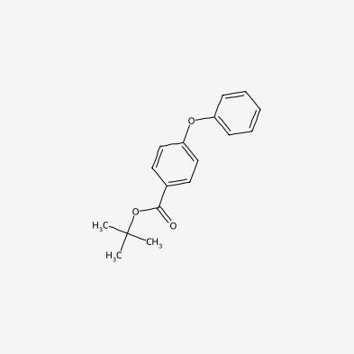 CC(C)(C)OC(=O)c1ccc(Oc2ccccc2)cc1